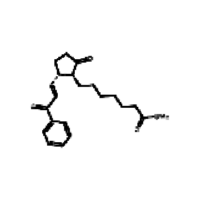 COC(=O)CCCCCC[C@@H]1C(=O)CC[C@H]1C=CC(=O)c1ccccc1